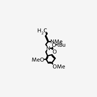 C=C/C=C(/CN(Cc1ccc(OC)cc1OC)C(=O)OC(C)(C)C)NC